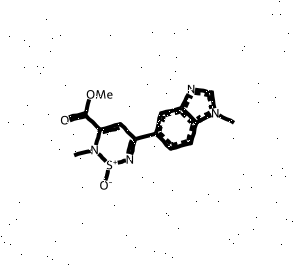 COC(=O)C1=CC(c2ccc3c(c2)ncn3C)=N[S+]([O-])N1C